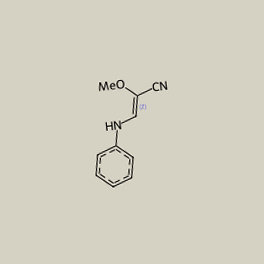 CO/C(C#N)=C\Nc1ccccc1